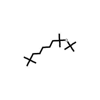 CC(C)(C)CCCCCC(C)(C)OC(C)(C)C